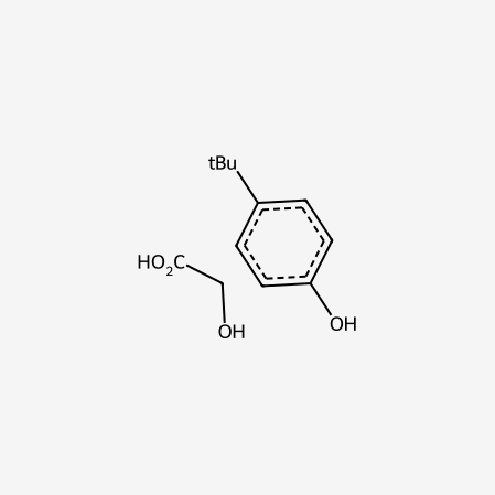 CC(C)(C)c1ccc(O)cc1.O=C(O)CO